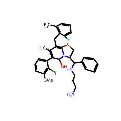 COc1cccc(C2=C(C)C(Cc3c(F)cccc3C(F)(F)F)=C3SCC(C(NCCCN)c4ccccc4)N3C2O)c1F